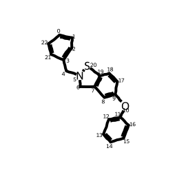 c1ccc(CN2Cc3cc(Oc4ccccc4)ccc3S2)cc1